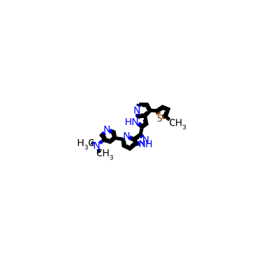 Cc1ccc(-c2ccnc3[nH]c(-c4n[nH]c5ccc(-c6cncc(N(C)C)c6)nc45)cc23)s1